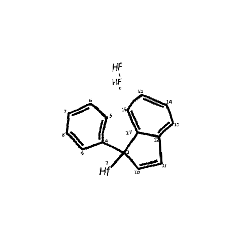 F.F.[Hf][C]1(c2ccccc2)C=Cc2ccccc21